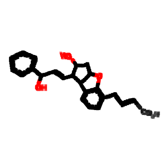 O=C(O)/C=C/Cc1cccc2c1OC1CC(O)C(/C=C/C(O)c3ccccc3)C21